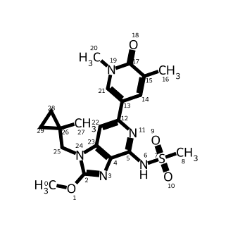 COc1nc2c(NS(C)(=O)=O)nc(-c3cc(C)c(=O)n(C)c3)cc2n1CC1(C)CC1